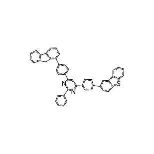 c1ccc(-c2nc(-c3ccc(-c4ccc5sc6ccccc6c5c4)cc3)cc(-c3ccc(-c4cccc5c4Cc4ccccc4-5)cc3)n2)cc1